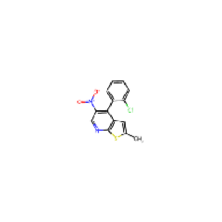 Cc1cc2c(-c3ccccc3Cl)c([N+](=O)[O-])cnc2s1